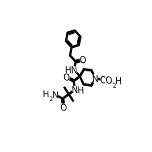 CC(C)(NC(=O)C1(NC(=O)Cc2ccccc2)CCN(C(=O)O)CC1)C(N)=O